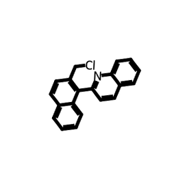 ClCc1ccc2ccccc2c1-c1ccc2ccccc2n1